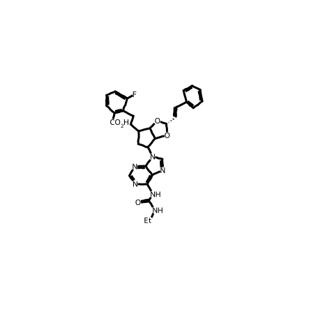 CCNC(=O)Nc1ncnc2c1ncn2C1CC(CCc2c(F)cccc2C(=O)O)C2O[C@H](/C=C/c3ccccc3)OC21